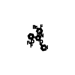 Fc1cc2nc3c(n2cc1Br)[C@@H](c1ccccc1OC(F)F)C[C@H]3OCc1cccnc1